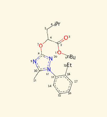 CCCCOC(=O)C(CC(C)C)Oc1nc(C)n(-c2ccccc2CC)n1